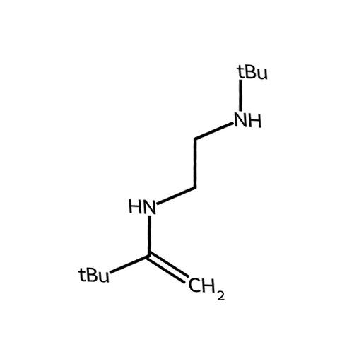 C=C(NCCNC(C)(C)C)C(C)(C)C